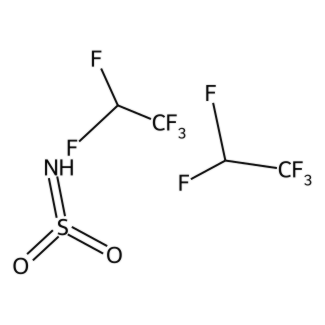 FC(F)C(F)(F)F.FC(F)C(F)(F)F.N=S(=O)=O